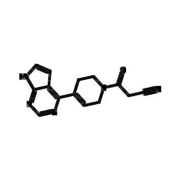 N#CCC(=O)N1CC=C(c2ncnc3[nH]ccc23)CC1